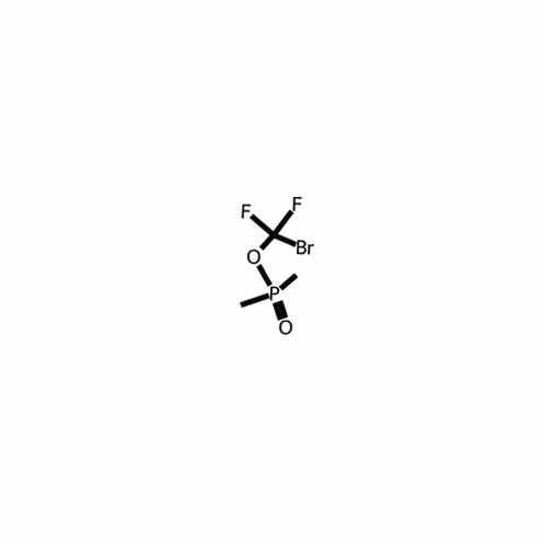 CP(C)(=O)OC(F)(F)Br